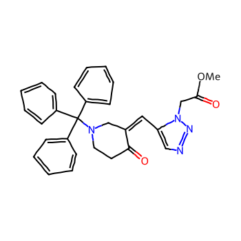 COC(=O)Cn1nncc1C=C1CN(C(c2ccccc2)(c2ccccc2)c2ccccc2)CCC1=O